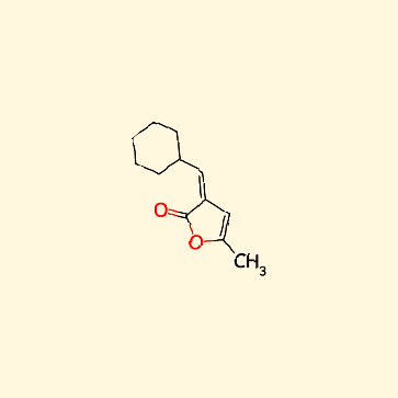 CC1=CC(=CC2CCCCC2)C(=O)O1